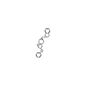 c1ccc(OC2COC3(CCN(C[C@H]4CCc5ccccc54)CC3)C2)cc1